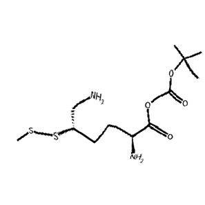 CSS[C@H](CN)CC[C@H](N)C(=O)OC(=O)OC(C)(C)C